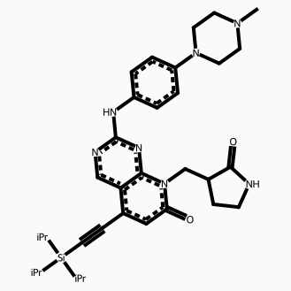 CC(C)[Si](C#Cc1cc(=O)n(CC2CCNC2=O)c2nc(Nc3ccc(N4CCN(C)CC4)cc3)ncc12)(C(C)C)C(C)C